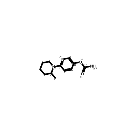 CC1CCCCN1c1ccc(OC(N)=O)cn1